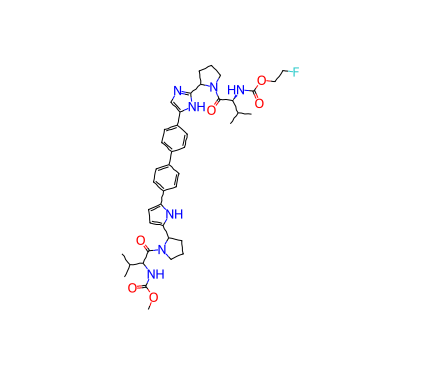 COC(=O)NC(C(=O)N1CCCC1c1ccc(-c2ccc(-c3ccc(-c4cnc(C5CCCN5C(=O)[C@@H](NC(=O)OCCF)C(C)C)[nH]4)cc3)cc2)[nH]1)C(C)C